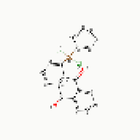 O=C1c2ccccc2C(=O)c2c1cccc2S(Cl)(Cl)c1ccccc1